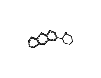 [c]1c(C2CCCCO2)ccc2cc3ccccc3cc12